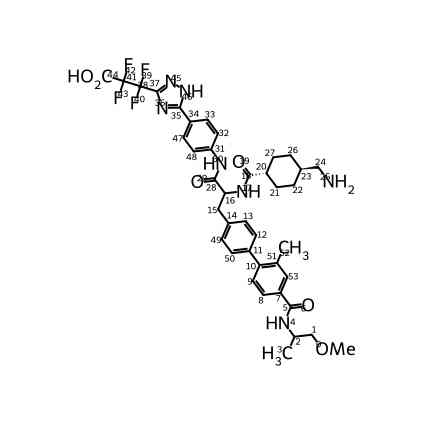 COCC(C)NC(=O)c1ccc(-c2ccc(CC(NC(=O)[C@H]3CC[C@H](CN)CC3)C(=O)Nc3ccc(-c4nc(C(F)(F)C(F)(F)C(=O)O)n[nH]4)cc3)cc2)c(C)c1